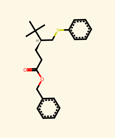 CC(C)(C)[C@H](CCC(=O)OCc1ccccc1)CSc1ccccc1